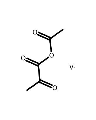 CC(=O)OC(=O)C(C)=O.[V]